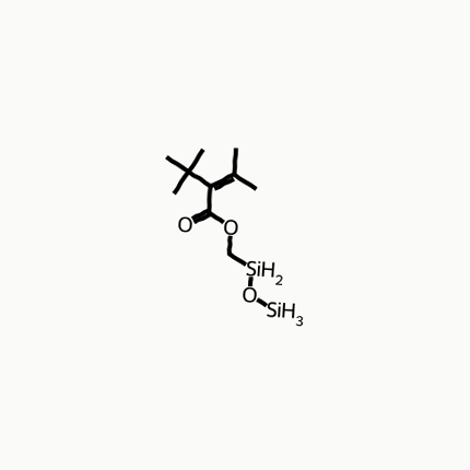 CC(C)=C(C(=O)OC[SiH2]O[SiH3])C(C)(C)C